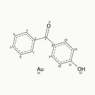 O=C(c1ccccc1)c1ccc(O)cc1.[Au]